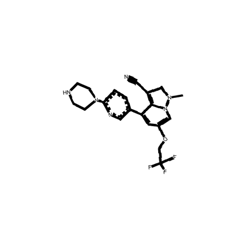 CN1CC(C#N)=C2C(c3ccc(N4CCNCC4)nc3)=CC(OCC(F)(F)F)=CN21